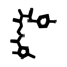 C=C(CCNC(=O)c1sc(C)nc1C)C(C)C(=O)Nc1ccc(F)cc1